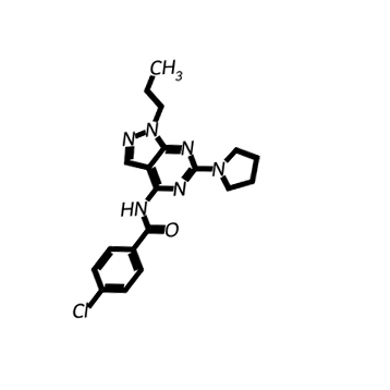 CCCn1ncc2c(NC(=O)c3ccc(Cl)cc3)nc(N3CCCC3)nc21